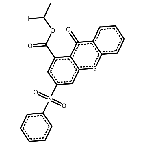 CC(I)OC(=O)c1cc(S(=O)(=O)c2ccccc2)cc2sc3ccccc3c(=O)c12